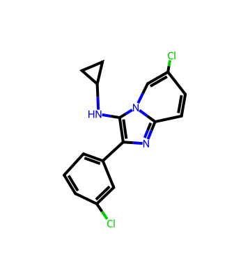 Clc1cccc(-c2nc3ccc(Cl)cn3c2NC2CC2)c1